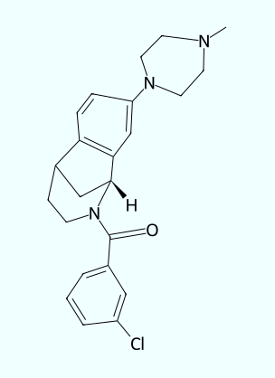 CN1CCN(c2ccc3c(c2)[C@H]2CC3CCN2C(=O)c2cccc(Cl)c2)CC1